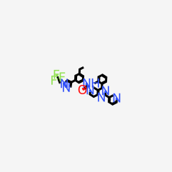 CCc1cc(NC(=O)N2CCc3nc(-c4cccnc4)nc(-c4ccccc4C)c3C2)cc(-c2cnn(CC(F)(F)F)c2)c1